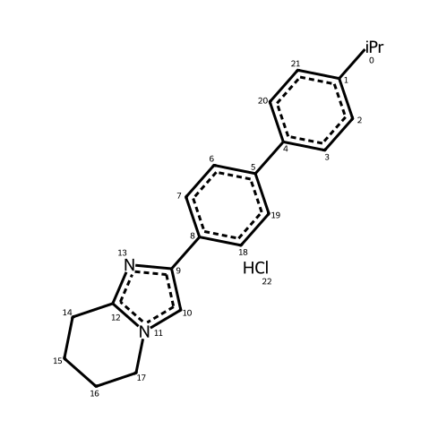 CC(C)c1ccc(-c2ccc(-c3cn4c(n3)CCCC4)cc2)cc1.Cl